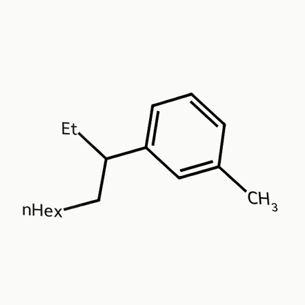 CCCCCCCC(CC)c1cccc(C)c1